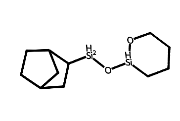 C1CC[SiH](O[SiH2]C2CC3CCC2C3)OC1